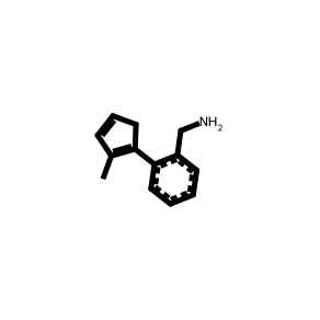 CC1=C(c2ccccc2CN)CC=C1